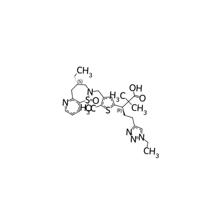 CC[C@H]1Cc2ncccc2S(=O)(=O)N(Cc2cc([C@H](CCc3cn(CC)nn3)C(C)(C)C(=O)O)sc2C)C1